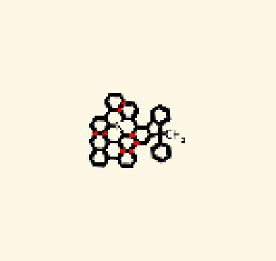 CC1(c2ccccc2)c2ccccc2-c2c(-c3ccccc3N(c3ccccc3-c3ccccc3)c3ccccc3-c3cccc4cccc(-c5ccccc5)c34)cccc21